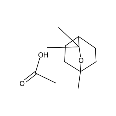 CC(=O)O.CC12CCC(CC1)C(C)(C)O2